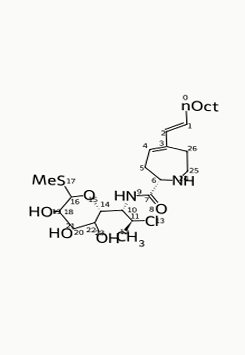 CCCCCCCC/C=C/C1=CC[C@@H](C(=O)N[C@H]([C@H](C)Cl)[C@H]2OC(SC)[C@H](O)C(O)C2O)NCC1